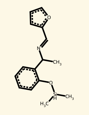 CC(N=Cc1ccco1)c1ccccc1O[SiH](C)C